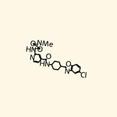 CNS(=O)(=O)Nc1cc(C(=O)NC2CCC(c3nc4cc(Cl)ccc4o3)CC2)ccn1